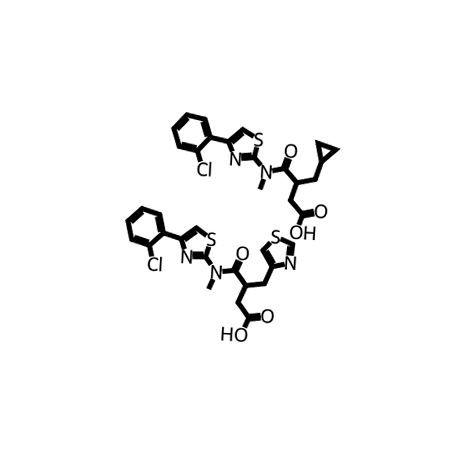 CN(C(=O)C(CC(=O)O)CC1CC1)c1nc(-c2ccccc2Cl)cs1.CN(C(=O)C(CC(=O)O)Cc1cscn1)c1nc(-c2ccccc2Cl)cs1